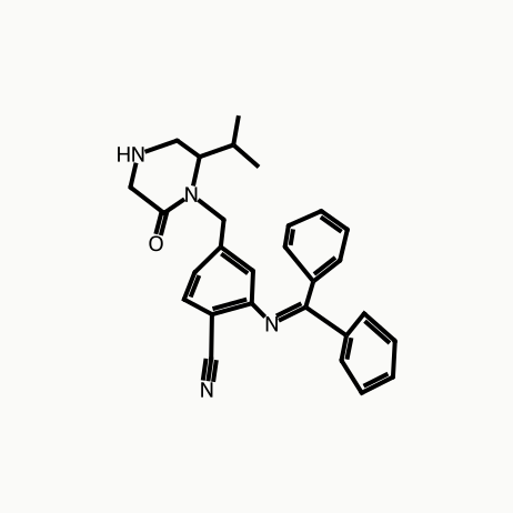 CC(C)C1CNCC(=O)N1Cc1ccc(C#N)c(N=C(c2ccccc2)c2ccccc2)c1